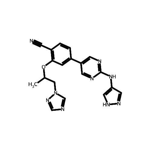 CC(Cn1cncn1)Oc1cc(-c2cnc(Nc3cn[nH]c3)nc2)ccc1C#N